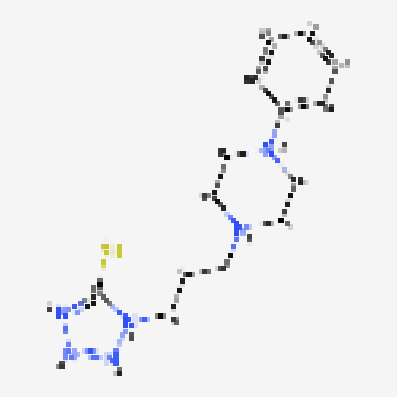 Sc1nnnn1CCCN1CCN(c2ccccc2)CC1